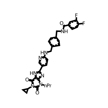 CCCn1c(=O)n(C2CC2)c(=O)c2[nH]c(-c3ccc(NCc4ccc(CNC(=O)c5ccc(F)c(F)c5)cc4)nc3)nc21